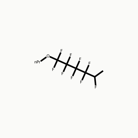 CCCOC(F)(F)C(F)(F)C(F)(F)C(F)(F)C(C)F